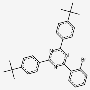 CC(C)(C)c1ccc(-c2nc(-c3ccc(C(C)(C)C)cc3)nc(-c3ccccc3Br)n2)cc1